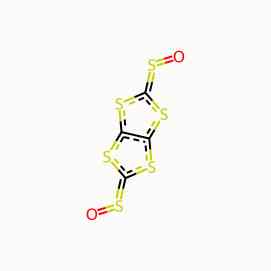 O=S=c1sc2sc(=S=O)sc2s1